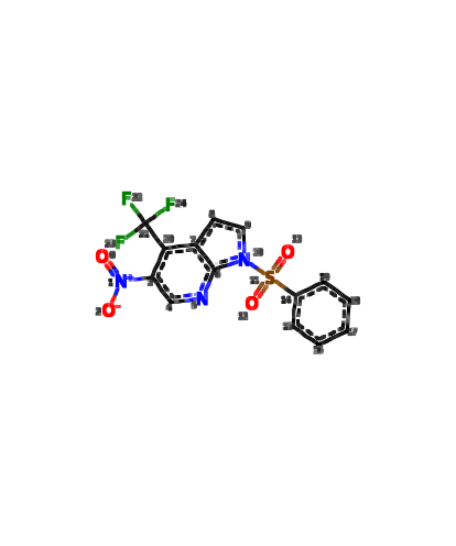 O=[N+]([O-])c1cnc2c(ccn2S(=O)(=O)c2ccccc2)c1C(F)(F)F